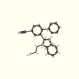 N#Cc1ccc(-c2ccccc2)c(-c2nc3ccccc3n2CCF)c1